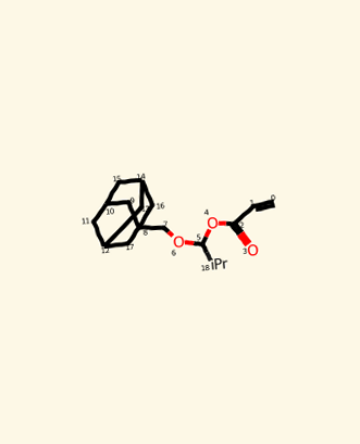 C=CC(=O)OC(OCC12CC3CC(CC(C3)C1)C2)C(C)C